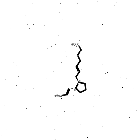 CCCCCCC=C[C@H]1CCC[C@@H]1CC=CCCCC(=O)O